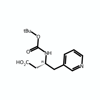 CC(C)(C)OC(=O)N[C@@H](CC(=O)O)Cc1cccnc1